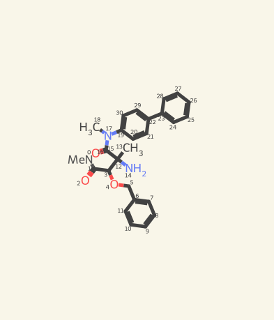 CNC(=O)C(OCc1ccccc1)C(C)(N)C(=O)N(C)c1ccc(-c2ccccc2)cc1